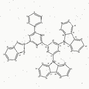 c1ccc(-c2cc(-c3cc4ccccc4s3)nc(-c3cc(-n4c5ccccc5c5ccccc54)cc(-n4c5ccccc5c5ccccc54)c3)n2)cc1